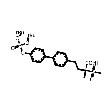 CC(C)(C)OP(=O)(Oc1ccc(-c2ccc(CC[C@](C)(C(=O)O)S(C)(=O)=O)cc2)cc1)OC(C)(C)C